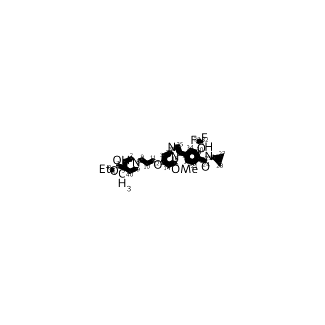 CCOC(O)C1(C)CCN(CCCOc2ccn3c(-c4cc(OC)c(C(=O)NC5CC5)c(OC(F)F)c4)cnc3c2)CC1